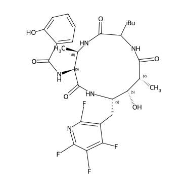 CCC(C)C1NC(=O)[C@H](C)[C@H](O)[C@H](Cc2c(F)nc(F)c(F)c2F)NC(=O)[C@@H](NC(=O)c2ccccc2O)[C@@H](C)NC1=O